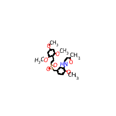 COc1cc(OC)c(/C=C/S(=O)(=O)Cc2ccc(OC)c(N/C=C\C(C)=O)c2)c(OC)c1